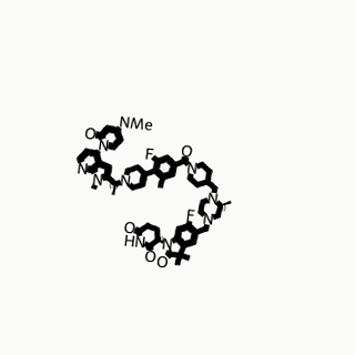 CNc1ccn(-c2ccnc3c2cc([C@H](C)N2CC=C(c4c(C)cc(C(=O)N5CCC(CN6CCN(Cc7cc8c(cc7F)N([C@@H]7CCC(=O)NC7=O)C(=O)C8(C)C)C[C@@H]6C)CC5)cc4F)CC2)n3C)c(=O)c1